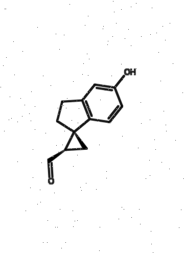 O=C[C@@H]1C[C@]12CCc1cc(O)ccc12